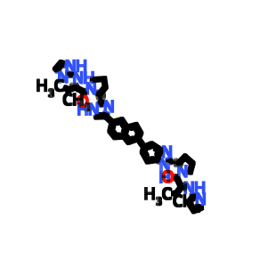 CC(C)[C@H](Nc1ncc[nH]1)C(=O)N1CCC[C@H]1c1nc(-c2ccc3cc(-c4ccc5[nH]c([C@@H]6CCCN6C(=O)[C@@H](NC6=NC=CC6)C(C)C)nc5c4)ccc3c2)c[nH]1